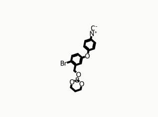 [C-]#[N+]c1ccc(Oc2ccc(Br)c(COB3OCCCO3)c2)cc1